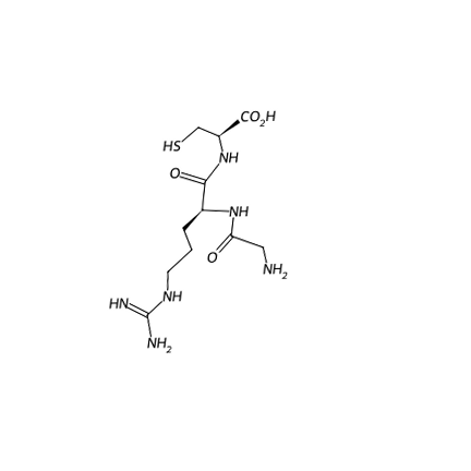 N=C(N)NCCC[C@H](NC(=O)CN)C(=O)N[C@@H](CS)C(=O)O